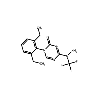 CCc1cccc(CC)c1-n1cnc(N(N)C(F)(F)F)nc1=O